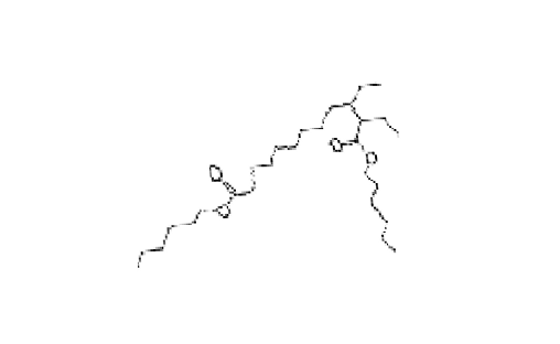 CCCCCCOC(=O)CCCCCCCCC(CC)C(CC)C(=O)OCCCCCC